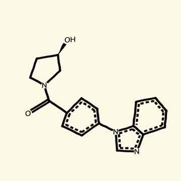 O=C(c1ccc(-n2cnc3ccccc32)cc1)N1CC[C@@H](O)C1